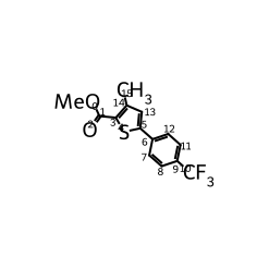 COC(=O)c1sc(-c2ccc(C(F)(F)F)cc2)cc1C